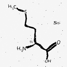 CSCC[C@H](N)C(=O)O.[Sn]